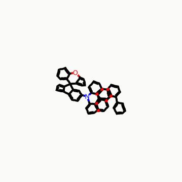 c1ccc(-c2ccccc2-c2ccccc2-c2ccccc2N(c2ccc3c(c2)C2(c4ccccc4Oc4ccccc42)c2ccccc2-3)c2ccccc2-c2ccccc2)cc1